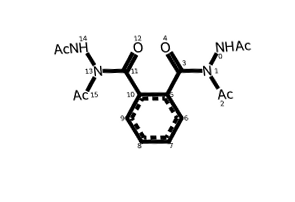 CC(=O)NN(C(C)=O)C(=O)c1ccccc1C(=O)N(NC(C)=O)C(C)=O